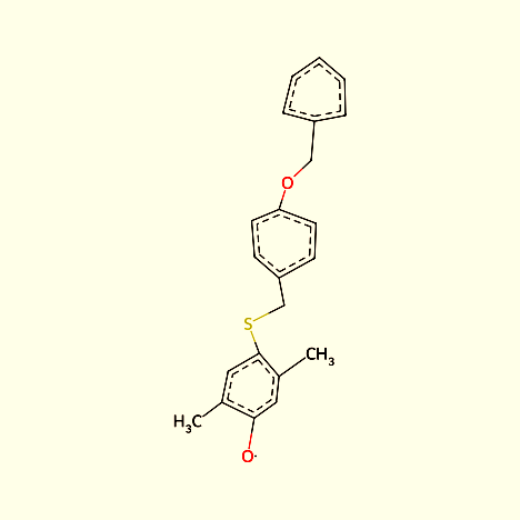 Cc1cc(SCc2ccc(OCc3ccccc3)cc2)c(C)cc1[O]